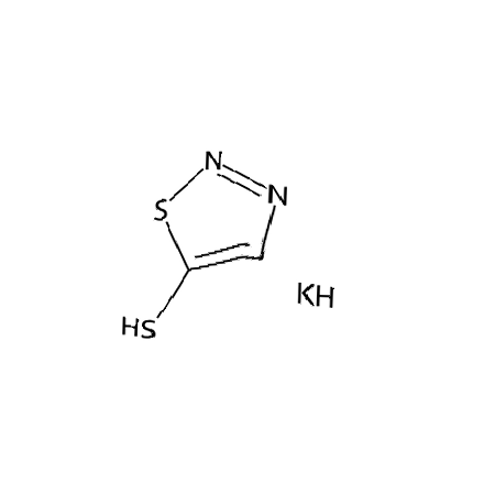 Sc1cnns1.[KH]